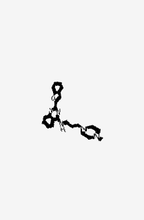 CN1CCN(CCCNc2nc(-c3cc4ccccc4o3)nc3ccccc23)CC1